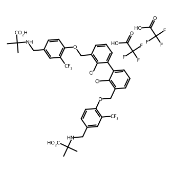 CC(C)(NCc1ccc(OCc2cccc(-c3cccc(COc4ccc(CNC(C)(C)C(=O)O)cc4C(F)(F)F)c3Cl)c2Cl)c(C(F)(F)F)c1)C(=O)O.O=C(O)C(F)(F)F.O=C(O)C(F)(F)F